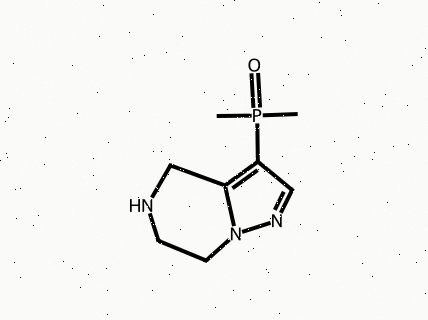 CP(C)(=O)c1cnn2c1CNCC2